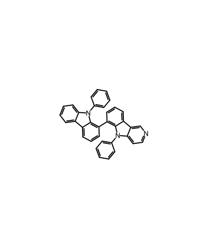 c1ccc(-n2c3ccccc3c3cccc(-c4cccc5c6cnccc6n(-c6ccccc6)c45)c32)cc1